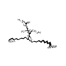 CCCCCCCC/C=C\CCCCCCCC(CCCCCCCCCCC/C=C\CCCCCCCCC)OC(=O)C(CCC(=O)O)NC(=O)C(N)CCCNC(=N)N